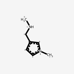 CNCc1ccn(C)c1